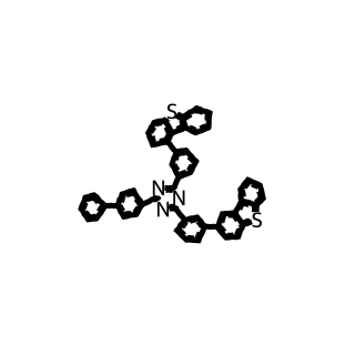 c1ccc(-c2ccc(-c3nc(-c4cccc(-c5ccc6sc7ccccc7c6c5)c4)nc(-c4cccc(-c5cccc6sc7ccccc7c56)c4)n3)cc2)cc1